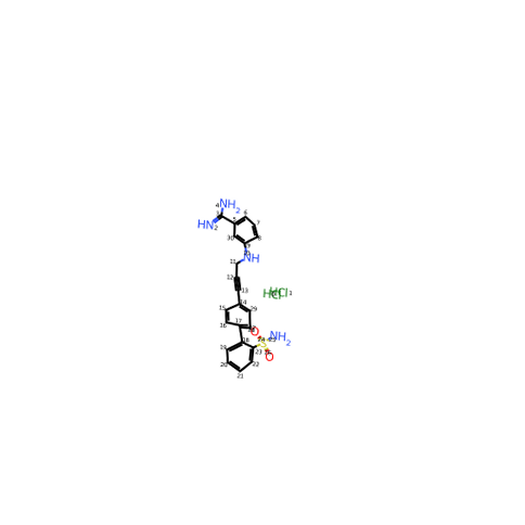 Cl.Cl.N=C(N)c1cccc(NCC#Cc2ccc(-c3ccccc3S(N)(=O)=O)cc2)c1